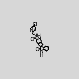 O=C(NCc1ccc(Cl)cn1)c1cc2c(cn1)CC1(C2)C(=O)Nc2ccccc21